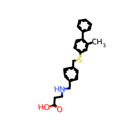 Cc1cc(SCc2ccc(CNCCC(=O)O)cc2)ccc1-c1ccccc1